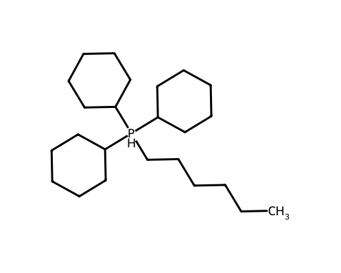 CCCCCC[PH](C1CCCCC1)(C1CCCCC1)C1CCCCC1